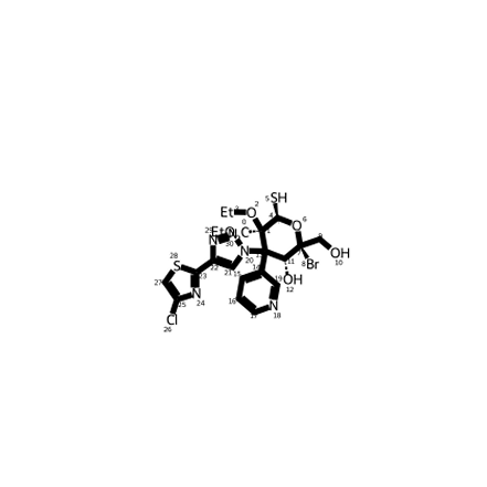 CCOC(=O)[C@]1(OCC)[C@@H](S)O[C@](Br)(CO)[C@H](O)C1(c1cccnc1)n1cc(-c2nc(Cl)cs2)nn1